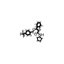 O=C(NC1CCCC1)c1sc2ccccc2c1OCc1ccc(C(F)(F)F)cc1